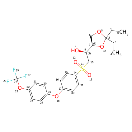 CCC1(CC)OC[C@H]([C@H](O)CS(=O)(=O)c2ccc(Oc3ccc(OC(F)(F)F)cc3)cc2)O1